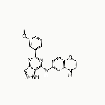 COc1cccc(-c2nc(Nc3ccc4c(c3)NCCO4)c3[nH]ncc3n2)c1